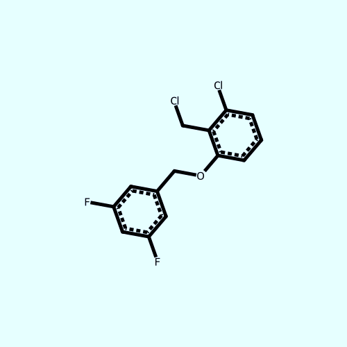 Fc1cc(F)cc(COc2cccc(Cl)c2CCl)c1